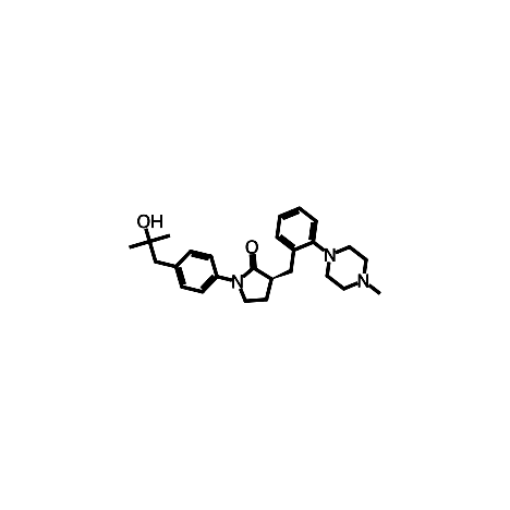 CN1CCN(c2ccccc2C[C@H]2CCN(c3ccc(CC(C)(C)O)cc3)C2=O)CC1